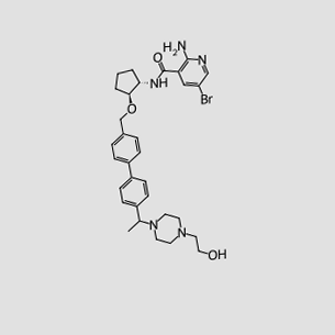 CC(c1ccc(-c2ccc(CO[C@H]3CCC[C@@H]3NC(=O)c3cc(Br)cnc3N)cc2)cc1)N1CCN(CCO)CC1